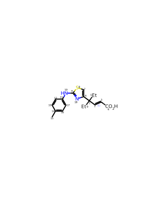 CCC(/C=C/C(=O)O)(CC)c1csc(Nc2ccc(C)cc2)n1